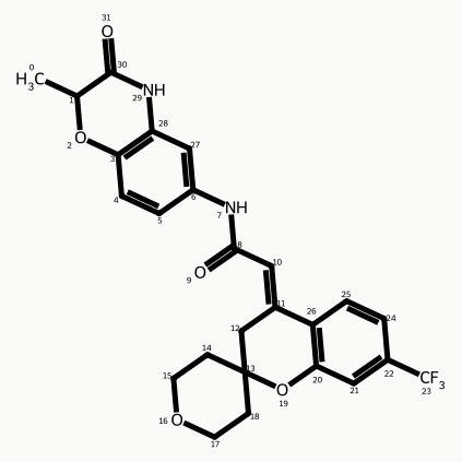 CC1Oc2ccc(NC(=O)/C=C3\CC4(CCOCC4)Oc4cc(C(F)(F)F)ccc43)cc2NC1=O